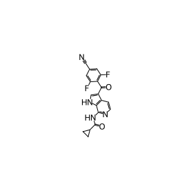 N#Cc1cc(F)c(C(=O)c2c[nH]c3c(NC(=O)C4CC4)nccc23)c(F)c1